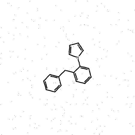 c1ccc(Cc2ccccc2-n2cccc2)cc1